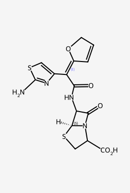 Nc1nc(/C(C(=O)NC2C(=O)N3C(C(=O)O)CS[C@@H]23)=C2/C=CCO2)cs1